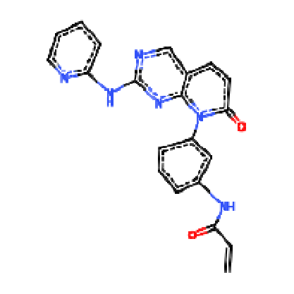 C=CC(=O)Nc1cccc(-n2c(=O)ccc3cnc(Nc4ccccn4)nc32)c1